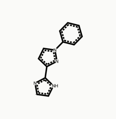 [c]1c[nH]c(-c2ccn(-c3ccccc3)n2)n1